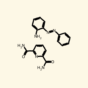 NC(=O)c1cccc(C(N)=O)n1.Nc1ccccc1N=Nc1ccccc1